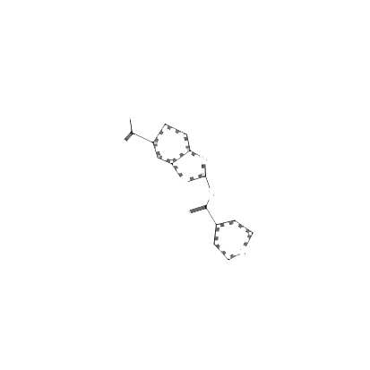 O=C(O)c1ccc2nc(NC(=O)c3ccncc3)sc2c1